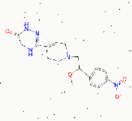 COC(CN1CC=C(C2=NNC(=O)CN2)CC1)c1ccc([N+](=O)[O-])cc1